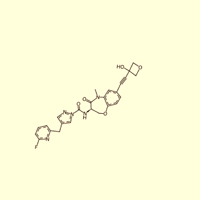 CN1C(=O)[C@H](NC(=O)n2cc(Cc3cccc(F)n3)cn2)COc2ccc(C#CC3(O)COC3)cc21